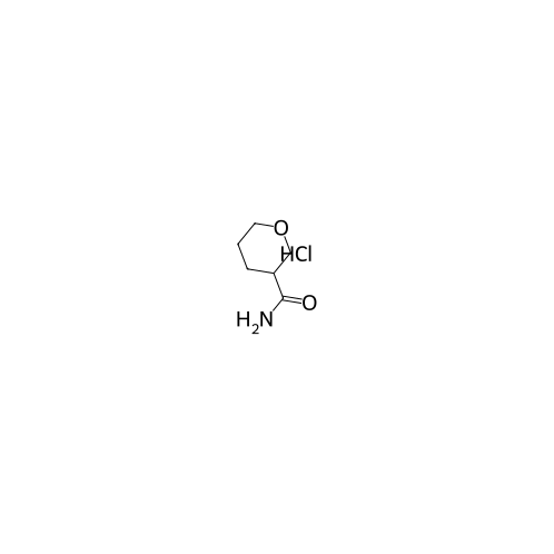 Cl.NC(=O)C1CCCOC1